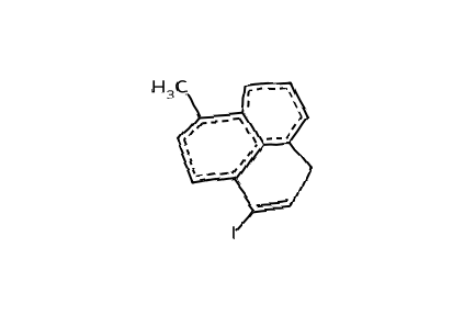 Cc1ccc2c3c(cccc13)CC=C2I